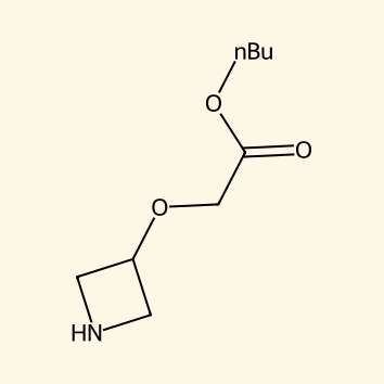 CCCCOC(=O)COC1CNC1